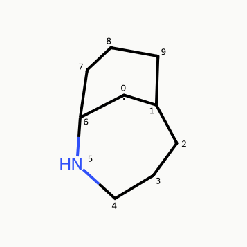 [CH]1C2CCCNC1CCC2